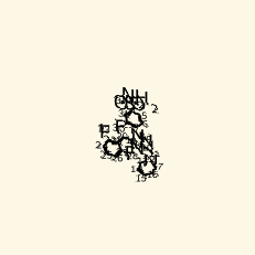 NS(=O)(=O)c1ccc(-n2nc(CN3CC=CCC3)nc2Cc2c(F)cccc2F)c(F)c1